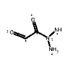 [NH]N(N)C(=O)[C]=O